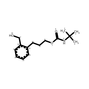 CC(C)(C)NC(=O)OCCCc1ccccc1CO